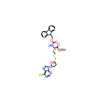 COC(=O)[C@H](CCSC[C@@H]1[CH][CH][C@H](n2cnc3c(Cl)ncnc32)O1)NC(=O)OCC1c2ccccc2-c2ccccc21